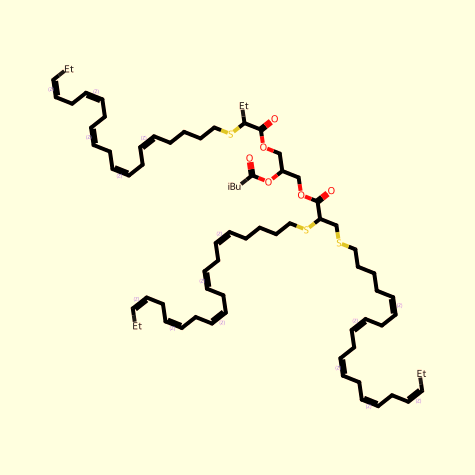 CC/C=C\C/C=C\C/C=C\C/C=C\C/C=C\CCCCSCC(SCCCC/C=C\C/C=C\C/C=C\C/C=C\C/C=C\CC)C(=O)OCC(COC(=O)C(CC)SCCCC/C=C\C/C=C\C/C=C\C/C=C\C/C=C\CC)OC(=O)C(C)CC